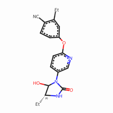 CCc1cc(Oc2ccc(N3C(=O)N[C@H](CC)C3O)cn2)ccc1C#N